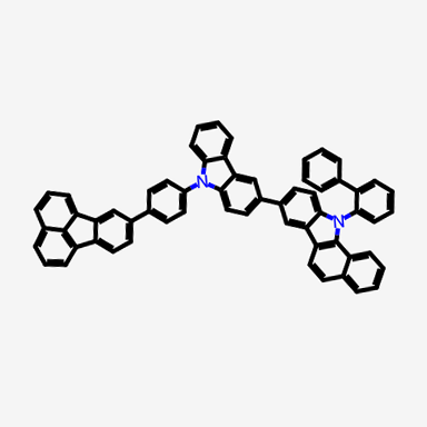 c1ccc(-c2ccccc2-n2c3ccc(-c4ccc5c(c4)c4ccccc4n5-c4ccc(-c5ccc6c(c5)-c5cccc7cccc-6c57)cc4)cc3c3ccc4ccccc4c32)cc1